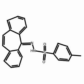 Cc1ccc(S(=O)(=O)NN=c2c3ccccc3ccc3ccccc23)cc1